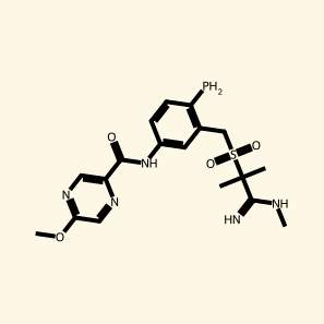 CNC(=N)C(C)(C)S(=O)(=O)Cc1cc(NC(=O)c2cnc(OC)cn2)ccc1P